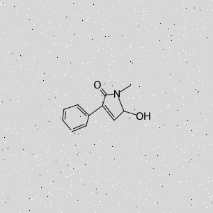 CN1C(=O)C(c2ccccc2)=CC1O